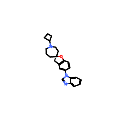 c1ccc2c(c1)ncn2-c1ccc2c(c1)C[C@@]1(CCCN(C3CCC3)CC1)O2